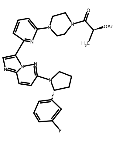 CC(=O)O[C@@H](C)C(=O)N1CCN(c2cccc(-c3cnc4ccc(N5CCC[C@@H]5c5cccc(F)c5)nn34)n2)CC1